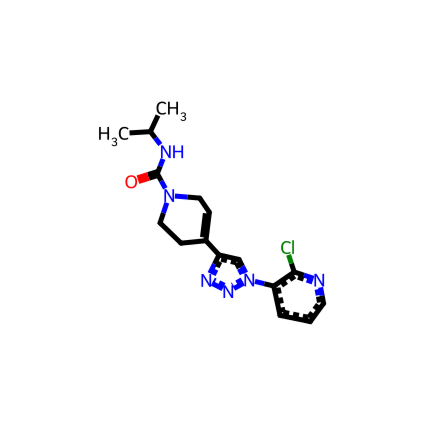 CC(C)NC(=O)N1CC=C(c2cn(-c3cccnc3Cl)nn2)CC1